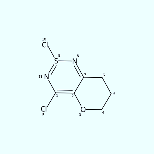 ClC1=C2OCCCC2=NS(Cl)=N1